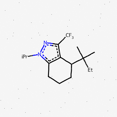 CCC(C)(C)C1CCCc2c1c(C(F)(F)F)nn2C(C)C